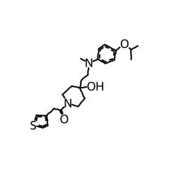 CC(C)Oc1ccc(N(C)CCC2(O)CCN(C(=O)Cc3ccsc3)CC2)cc1